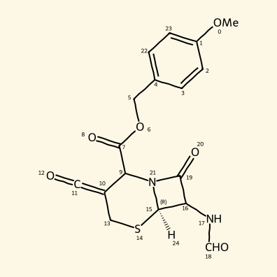 COc1ccc(COC(=O)C2C(=C=O)CS[C@@H]3C(NC=O)C(=O)N23)cc1